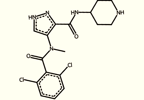 CN(C(=O)c1c(Cl)cccc1Cl)c1c[nH]nc1C(=O)NC1CCNCC1